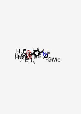 COC1CN(Cc2ccc(B3OC(C)(C)C(C)(C)O3)cc2)C1